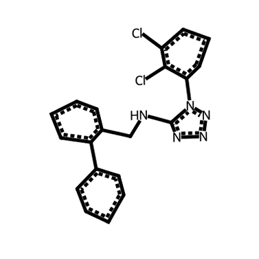 Clc1cccc(-n2nnnc2NCc2ccccc2-c2ccccc2)c1Cl